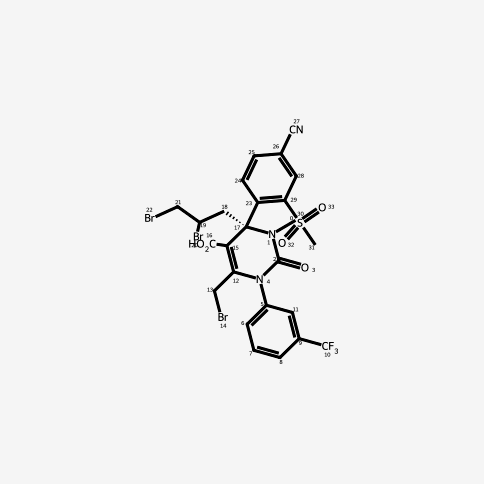 CN1C(=O)N(c2cccc(C(F)(F)F)c2)C(CBr)=C(C(=O)O)[C@@]1(CC(Br)CBr)c1ccc(C#N)cc1S(C)(=O)=O